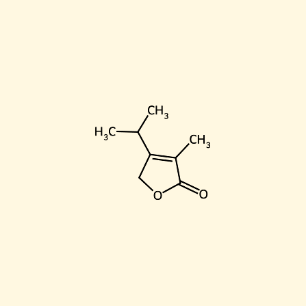 CC1=C(C(C)C)COC1=O